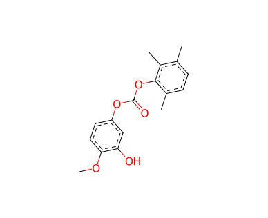 COc1ccc(OC(=O)Oc2c(C)ccc(C)c2C)cc1O